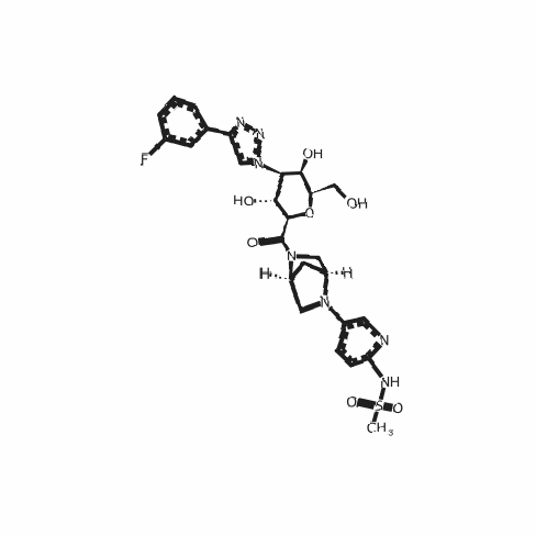 CS(=O)(=O)Nc1ccc(N2C[C@@H]3C[C@H]2CN3C(=O)[C@@H]2O[C@H](CO)[C@H](O)[C@H](n3cc(-c4cccc(F)c4)nn3)[C@H]2O)cn1